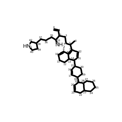 C=CC(CCC(C)C1=C2C=CCCC2C(C2C=CC(C3C=CCC4CCCCC43)CC2)C=C1)C(N)CCCC1CCNC1